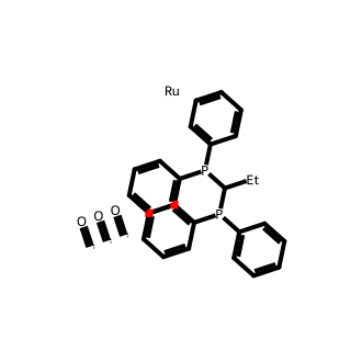 CCC(P(c1ccccc1)c1ccccc1)P(c1ccccc1)c1ccccc1.[C]=O.[C]=O.[C]=O.[Ru]